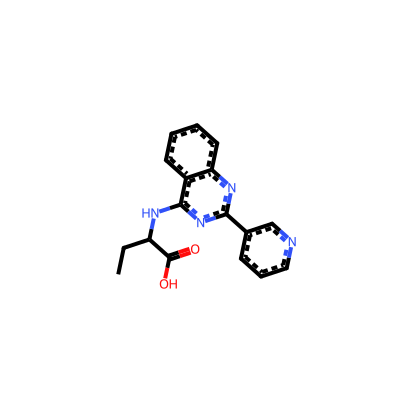 CCC(Nc1nc(-c2cccnc2)nc2ccccc12)C(=O)O